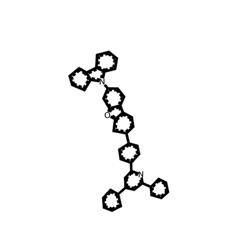 c1ccc(-c2cc(-c3ccccc3)nc(-c3ccc(-c4ccc5c(c4)oc4cc(-n6c7ccccc7c7ccccc76)ccc45)cc3)c2)cc1